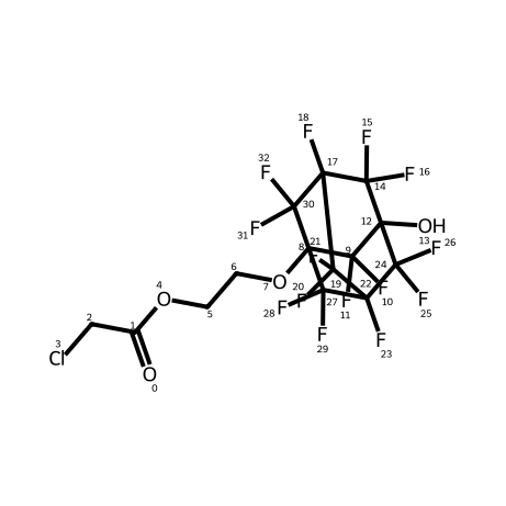 O=C(CCl)OCCOC12C(F)(F)C3(O)C(F)(F)C(F)(C(F)(F)C(F)(C3(F)F)C1(F)F)C2(F)F